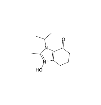 Cc1n(C(C)C)c2c([n+]1O)CCCC2=O